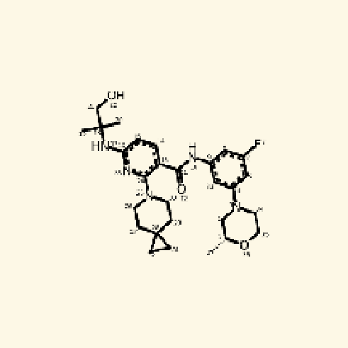 C[C@@H]1CN(c2cc(F)cc(NC(=O)c3ccc(NC(C)(C)CO)nc3N3CCC4(CC3)CC4)c2)CCO1